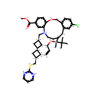 COC(=O)c1ccc2c(c1)N(C[C@@H]1CC[C@H]1C(/C=C\[C@H]1CC[C@@H]1CSc1ncccn1)O[Si](C)(C)C(C)(C)C)CCCCc1cc(Cl)ccc1CO2